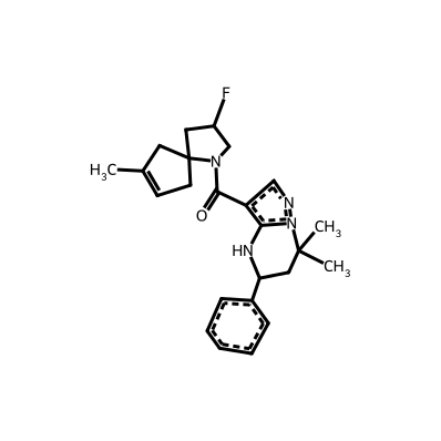 CC1=CCC2(C1)CC(F)CN2C(=O)c1cnn2c1NC(c1ccccc1)CC2(C)C